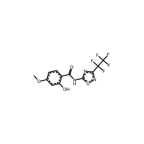 COc1ccc(C(=O)Nc2nc(C(F)(F)C(F)(F)F)no2)c(O)c1